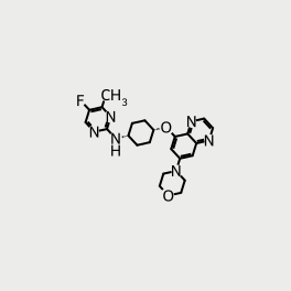 Cc1nc(N[C@H]2CC[C@@H](Oc3cc(N4CCOCC4)cc4nccnc34)CC2)ncc1F